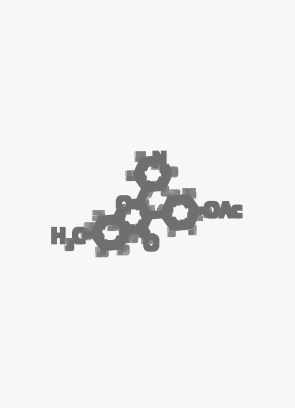 CC(=O)Oc1ccc(-c2c(-c3ccncc3)oc3cc(C)ccc3c2=O)cc1